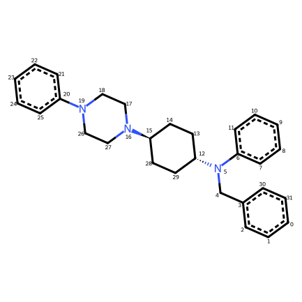 c1ccc(CN(c2ccccc2)[C@H]2CC[C@H](N3CCN(c4ccccc4)CC3)CC2)cc1